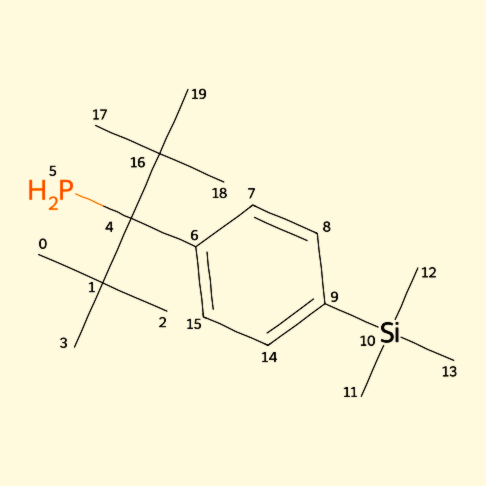 CC(C)(C)C(P)(c1ccc([Si](C)(C)C)cc1)C(C)(C)C